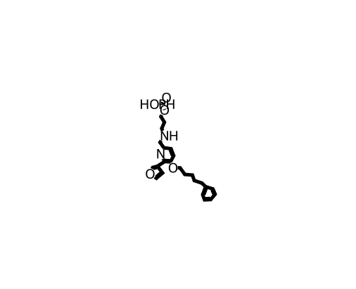 O=[PH](O)OCCCNCc1ccc(OCCCCCc2ccccc2)c(-c2ccoc2)n1